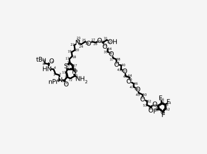 CCCN(CCCNC(=O)CC(C)(C)C)C(=O)C1=Cc2sc(CCCCCN(C)CCOCCOC(CO)OCCOCCOCCOCCOCCOCCOCCC(=O)Oc3c(F)c(F)cc(F)c3F)cc2N=C(N)C1